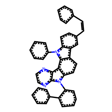 C(=C/c1ccc2c(c1)c1ccc3c(c4nccnc4n3-c3ccccc3-c3ccccc3)c1n2-c1ccccc1)/c1ccccc1